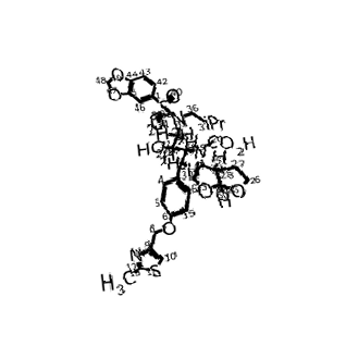 [2H]C([2H])(c1ccc(OCc2csc(C)n2)cc1)[C@]([2H])(N(C(=O)O)[C@H]1CO[C@H]2OCC[C@H]21)[C@]([2H])(O)C([2H])([2H])N(CC(C)C)S(=O)(=O)c1ccc2c(c1)OCO2